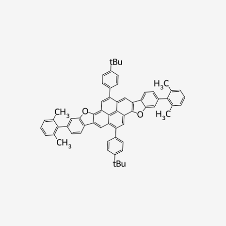 Cc1cccc(C)c1-c1ccc2c(c1)oc1c2cc2c(-c3ccc(C(C)(C)C)cc3)cc3c4oc5cc(-c6c(C)cccc6C)ccc5c4cc4c(-c5ccc(C(C)(C)C)cc5)cc1c2c43